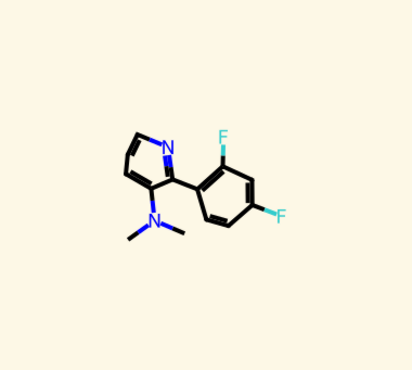 CN(C)c1cccnc1-c1ccc(F)cc1F